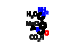 COc1c(-c2cnc(N)c(C)c2)ccc2c(=O)c(C(=O)O)cn(C3CC3)c12